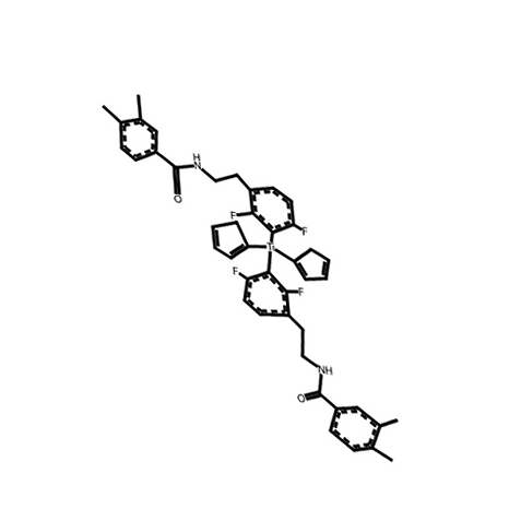 Cc1ccc(C(=O)NCCc2ccc(F)[c]([Ti]([C]3=CC=CC3)([C]3=CC=CC3)[c]3c(F)ccc(CCNC(=O)c4ccc(C)c(C)c4)c3F)c2F)cc1C